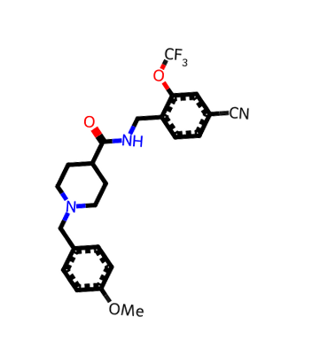 COc1ccc(CN2CCC(C(=O)NCc3ccc(C#N)cc3OC(F)(F)F)CC2)cc1